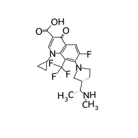 CN[C@H](C)[C@H]1CCN(c2c(F)cc3c(=O)c(C(=O)O)cn(C4CC4)c3c2C(F)(F)F)C1